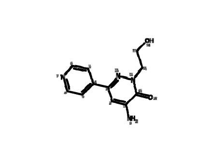 Nc1cc(-c2ccncc2)nn(CCO)c1=O